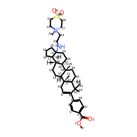 COC(=O)c1ccc(C2=CC[C@]3(C)[C@H]4CC[C@@H]5[C@H]6CCC[C@]6(NCC[N+]6(C)CCS(=O)(=O)CC6)CC[C@@]5(C)[C@]4(C)CC[C@H]3C2(C)C)cc1